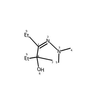 CCC(=NN(C)C)C(C)(O)CC